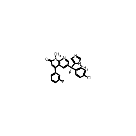 Cn1cncc1[C@@](F)(c1ccc(Cl)cc1)c1cnc2c(c1)c(-c1cccc(F)c1)cc(=O)n2C